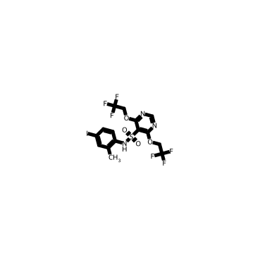 Cc1cc(I)ccc1NS(=O)(=O)c1c(OCC(F)(F)F)ncnc1OCC(F)(F)F